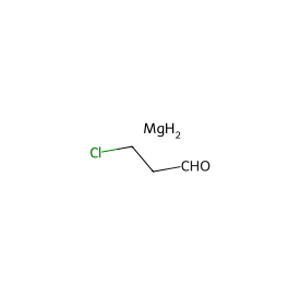 O=CCCCl.[MgH2]